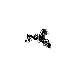 CCOc1cncc(-c2ccc(NC(=O)C3(c4ccnc(NS(=O)(=O)CC)n4)CCN(S(=O)(=O)c4ccn(C)n4)CC3)nc2)n1